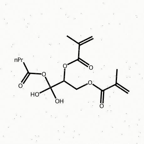 C=C(C)C(=O)OCC(OC(=O)C(=C)C)C(O)(O)OC(=O)CCC